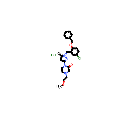 COCCN1CCN(c2cc(C)n(Cc3cc(Cl)ccc3OCc3ccccc3)n2)C(=O)C1.Cl